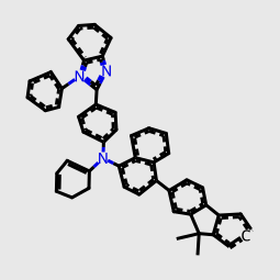 CC1(C)c2ccccc2-c2ccc(-c3ccc(N(C4=CC=CCC4)c4ccc(-c5nc6ccccc6n5-c5ccccc5)cc4)c4ccccc34)cc21